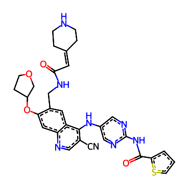 N#Cc1cnc2cc(OC3CCOC3)c(CNC(=O)C=C3CCNCC3)cc2c1Nc1cnc(NC(=O)c2cccs2)nc1